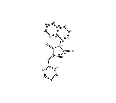 O=C1/C(=C/c2ccccn2)NC(=S)N1c1cccc2ccccc12